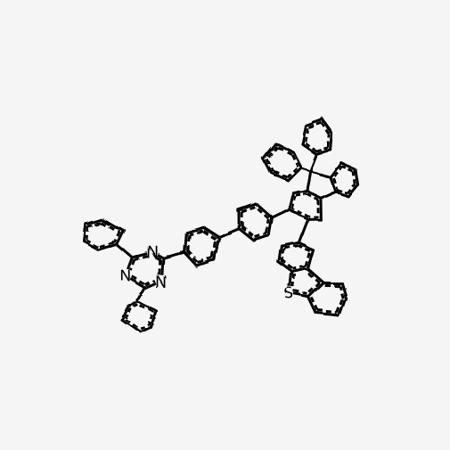 c1ccc(-c2nc(-c3ccccc3)nc(-c3ccc(-c4ccc(-c5cc6c(cc5-c5ccc7sc8ccccc8c7c5)-c5ccccc5C6(c5ccccc5)c5ccccc5)cc4)cc3)n2)cc1